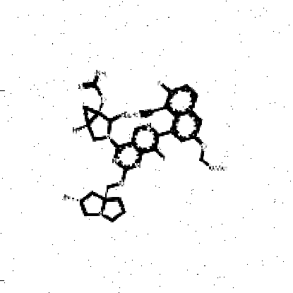 C#Cc1c(F)ccc2cc(OCOC)cc(-c3ncc4c(N5C[C@@H]6C[C@]6(OC(N)=O)C5C(C)(C)C)nc(OC[C@@]56CCCN5C[C@H](F)C6)nc4c3F)c12